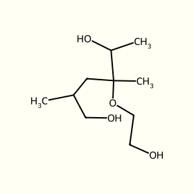 CC(CO)CC(C)(OCCO)C(C)O